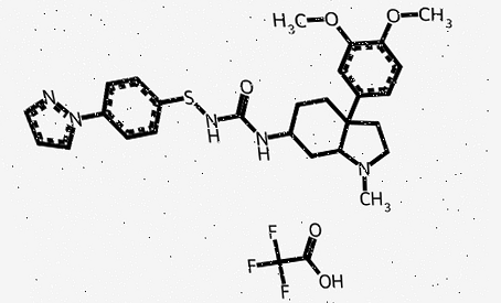 COc1ccc(C23CCC(NC(=O)NSc4ccc(-n5cccn5)cc4)CC2N(C)CC3)cc1OC.O=C(O)C(F)(F)F